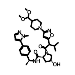 COC(OC)C1CCN(c2cc(C(C(=O)N3C[C@H](O)C[C@H]3C(=O)N[C@@H](C)c3ccc(-c4ccnn4C)cc3)C(C)C)on2)CC1